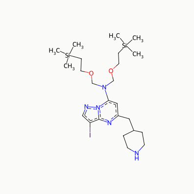 C[Si](C)(C)CCOCN(COCC[Si](C)(C)C)c1cc(CC2CCNCC2)nc2c(I)cnn12